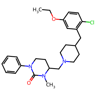 CCOc1ccc(Cl)c(CC2CCN(CC3CCN(c4ccccc4)C(=O)N3C)CC2)c1